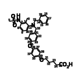 Cc1c(NS(C)(=O)=O)cccc1N(Cc1ccccc1)Cc1ccc(Oc2ccc(OCCCCC(=O)O)cc2)cc1